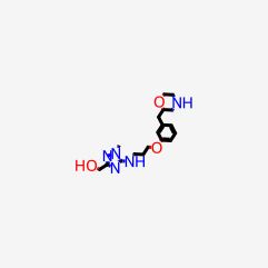 Cn1nc(CO)nc1NCCCOc1cccc(CC2CNCCO2)c1